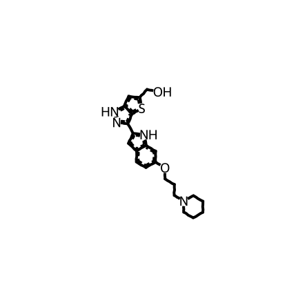 OCc1cc2[nH]nc(-c3cc4ccc(OCCCN5CCCCC5)cc4[nH]3)c2s1